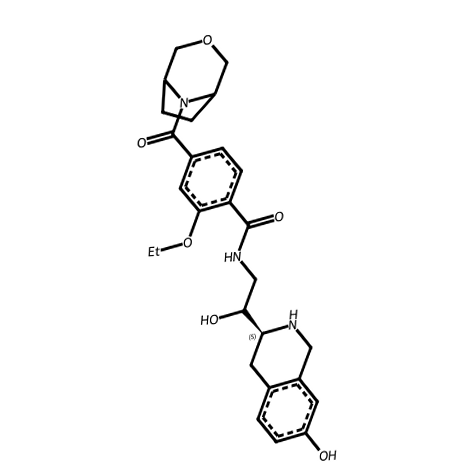 CCOc1cc(C(=O)N2C3CCC2COC3)ccc1C(=O)NCC(O)[C@@H]1Cc2ccc(O)cc2CN1